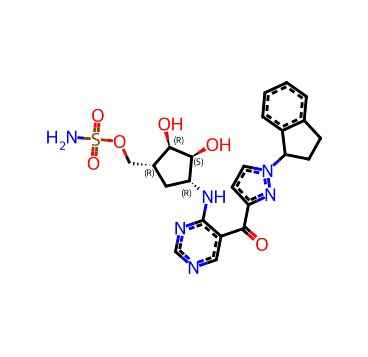 NS(=O)(=O)OC[C@H]1C[C@@H](Nc2ncncc2C(=O)c2ccn(C3CCc4ccccc43)n2)[C@H](O)[C@@H]1O